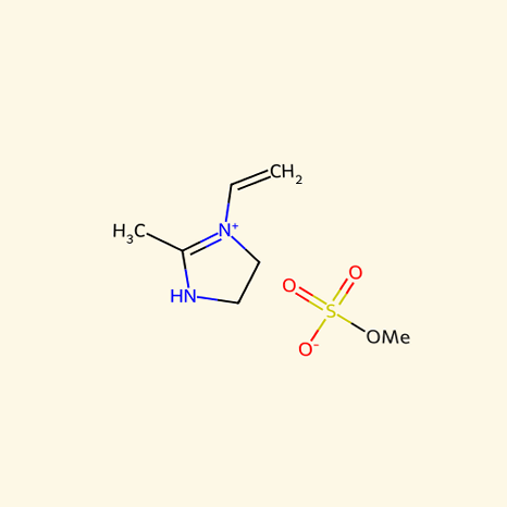 C=C[N+]1=C(C)NCC1.COS(=O)(=O)[O-]